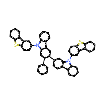 c1ccc(-c2cc3c(cc2-c2ccc4c5ccccc5n(-c5ccc6sc7ccccc7c6c5)c4c2)c2ccccc2n3-c2ccc3sc4ccccc4c3c2)cc1